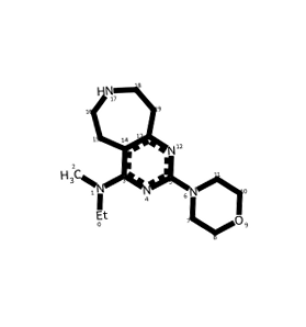 CCN(C)c1nc(N2CCOCC2)nc2c1CCNCC2